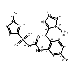 CC(C)n1ccc(S(=O)(=O)NC(=O)Nc2cc(Br)ccc2Sc2nnnn2C)n1